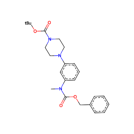 CN(C(=O)OCc1ccccc1)c1cccc(N2CCN(C(=O)OC(C)(C)C)CC2)c1